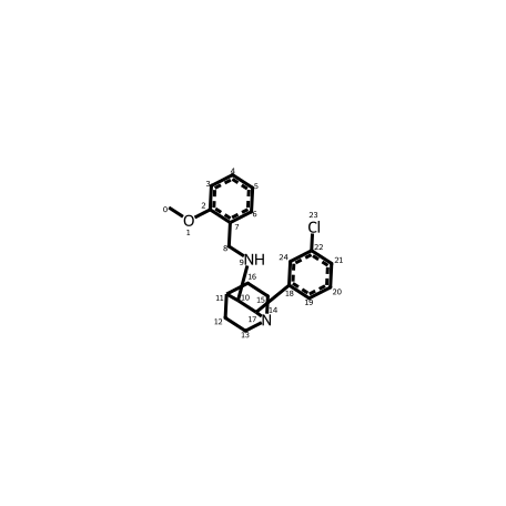 COc1ccccc1CNC1C2CCN(CC2)C1c1cccc(Cl)c1